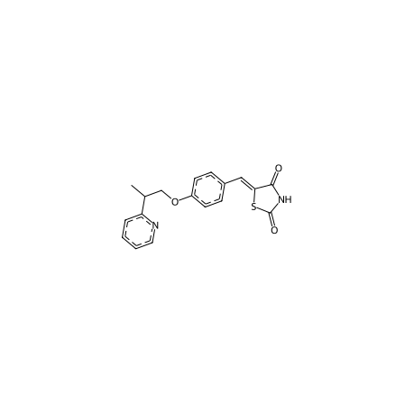 CC(COc1ccc(/C=C2\SC(=O)NC2=O)cc1)c1ccccn1